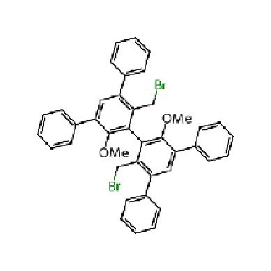 COc1c(-c2ccccc2)cc(-c2ccccc2)c(CBr)c1-c1c(CBr)c(-c2ccccc2)cc(-c2ccccc2)c1OC